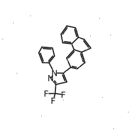 FC(F)(F)c1cc(-c2ccc3ccc4ccccc4c3c2)n(-c2ccccc2)n1